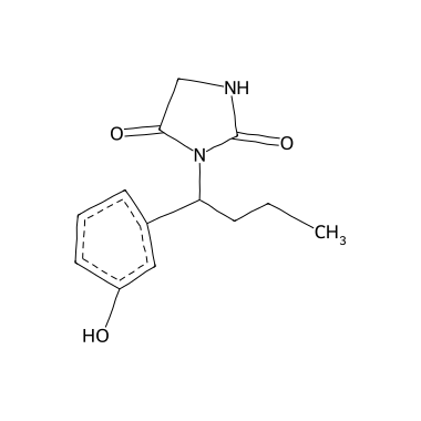 CCCC(c1cccc(O)c1)N1C(=O)CNC1=O